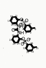 Cc1cccc(S(=O)(=O)Oc2ccccc2NC(=O)Nc2ccccc2OS(=O)(=O)c2cccc(C)c2)c1